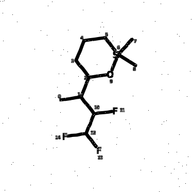 CC(C1CCC[Si](C)(C)O1)C(F)C(F)F